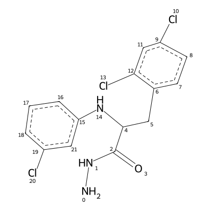 NNC(=O)C(Cc1ccc(Cl)cc1Cl)Nc1cccc(Cl)c1